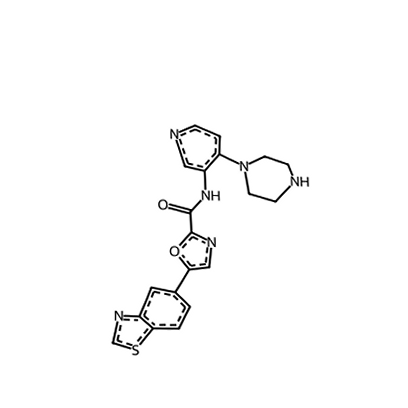 O=C(Nc1cnccc1N1CCNCC1)c1ncc(-c2ccc3scnc3c2)o1